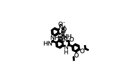 CCOc1cc(C(Nc2ccc(C(=N)N)cc2)C(=O)NNS(=O)(=O)c2ccccc2[N+](=O)[O-])ccc1OC(C)C